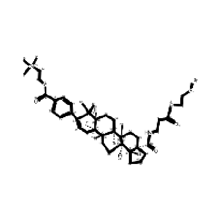 CC(C)SCCOC(=O)CCNC(=O)[C@]12CCC[C@@H]1[C@H]1CC[C@@H]3[C@@]4(C)CC=C(c5ccc(C(=O)OCC[Si](C)(C)C)cc5)C(C)(C)[C@@H]4CC[C@@]3(C)[C@]1(C)CC2